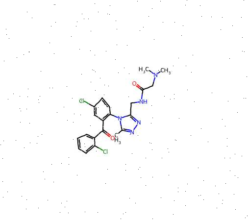 Cc1nnc(CNC(=O)CN(C)C)n1-c1ccc(Cl)cc1C(=O)c1ccccc1Cl